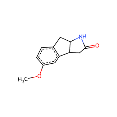 COc1ccc2c(c1)C1CC(=O)NC1C2